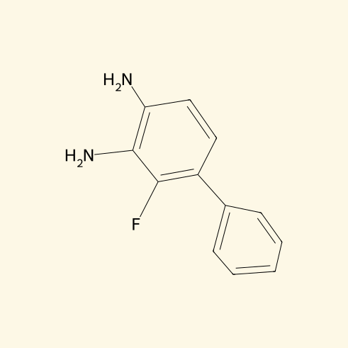 Nc1ccc(-c2ccccc2)c(F)c1N